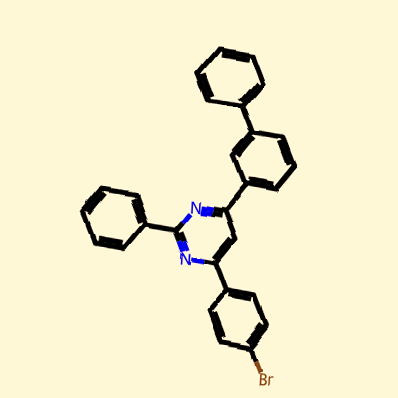 Brc1ccc(-c2cc(-c3cccc(-c4ccccc4)c3)nc(-c3ccccc3)n2)cc1